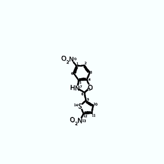 O=[N+]([O-])c1ccc2c(c1)NC(c1ccc([N+](=O)[O-])s1)O2